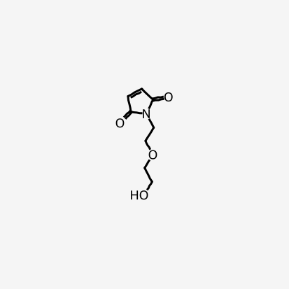 O=C1C=CC(=O)N1CCOCCO